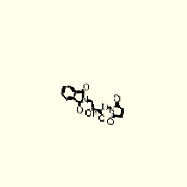 O=C(ON1C(=O)CCC1=O)[C@@H](O)CN1C(=O)c2ccccc2C1=O